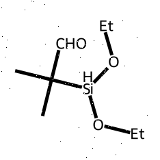 CCO[SiH](OCC)C(C)(C)C=O